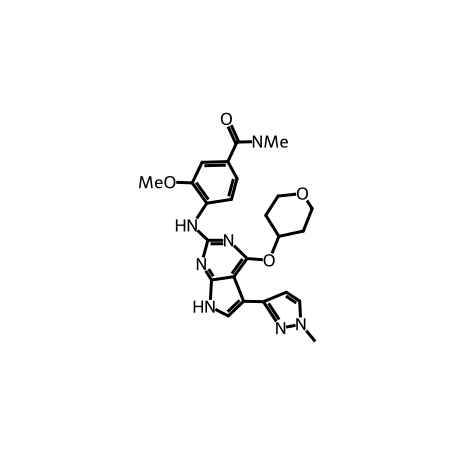 CNC(=O)c1ccc(Nc2nc(OC3CCOCC3)c3c(-c4ccn(C)n4)c[nH]c3n2)c(OC)c1